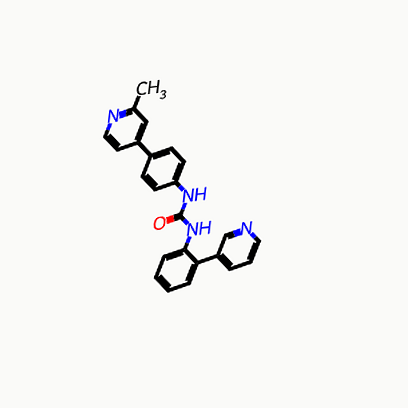 Cc1cc(-c2ccc(NC(=O)Nc3ccccc3-c3cccnc3)cc2)ccn1